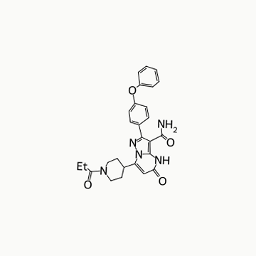 CCC(=O)N1CCC(c2cc(=O)[nH]c3c(C(N)=O)c(-c4ccc(Oc5ccccc5)cc4)nn23)CC1